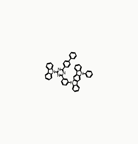 c1ccc(-c2ccc(-c3nc(-c4cccc(-n5c6ccccc6c6cc7c(cc65)c5ccccc5n7-c5ccccc5)c4)nc(-n4c5ccccc5c5ccccc54)n3)cc2)cc1